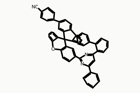 N#Cc1ccc(-c2ccc3c(c2)C2(c4ccccc4Oc4ccc(-c5nc(-c6ccccc6)cc(-c6ccccc6-c6ccccc6)n5)cc42)c2ccccc2-3)cc1